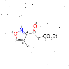 CCOC(=O)CC(=O)c1nocc1C